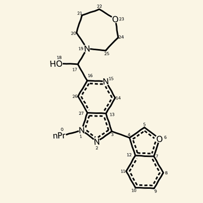 CCCn1nc(-c2coc3ccccc23)c2cnc(C(O)N3CCCOCC3)cc21